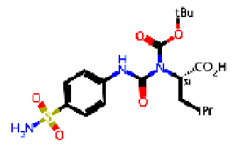 CC(C)C[C@@H](C(=O)O)N(C(=O)Nc1ccc(S(N)(=O)=O)cc1)C(=O)OC(C)(C)C